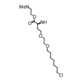 CNCCOC(=O)C(=N)CCOCCOCCCCCCCCl